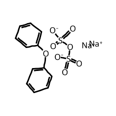 O=S(=O)([O-])OS(=O)(=O)[O-].[Na+].[Na+].c1ccc(Oc2ccccc2)cc1